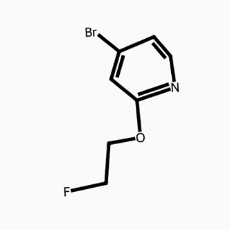 FCCOc1cc(Br)ccn1